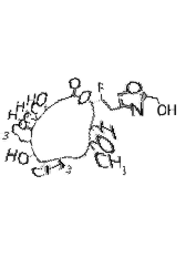 CC[C@H]1C(=O)C(C)(C)[C@@H](O)CC(=O)O[C@H](C(F)=Cc2coc(CO)n2)C[C@@H]2O[C@]2(C)CCC[C@H](C)[C@@H]1O